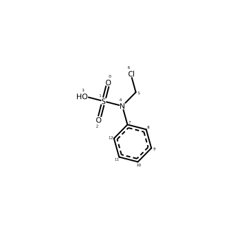 O=S(=O)(O)N(CCl)c1ccccc1